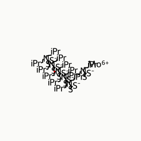 CC(C)CCN(CCC(C)C)C(=S)[S-].CC(C)CCN(CCC(C)C)C(=S)[S-].CC(C)CCN(CCC(C)C)C(=S)[S-].CC(C)CCN(CCC(C)C)C(=S)[S-].CC(C)CCN(CCC(C)C)C(=S)[S-].CC(C)CCN(CCC(C)C)C(=S)[S-].[Mo+6]